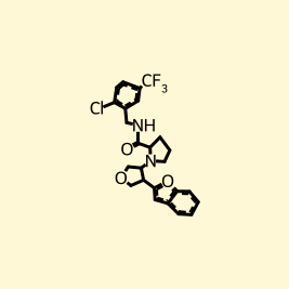 O=C(NCc1cc(C(F)(F)F)ccc1Cl)C1CCCN1C1COCC1c1cc2ccccc2o1